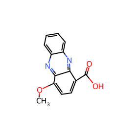 COc1ccc(C(=O)O)c2nc3ccccc3nc12